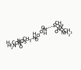 CC1=CC2=Nc3cc(C)c(N)cc3N(c3ccccc3)C2C=C1SCCCCCCNC(=O)c1ccc(-c2ccc(C(=O)NCCCCCCSc3cc4c(cc3C)nc3cc(C)c(N)cc3[n+]4-c3ccccc3)cc2)cc1